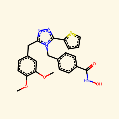 COc1ccc(Cc2nnc(-c3cccs3)n2Cc2ccc(C(=O)NO)cc2)cc1OC